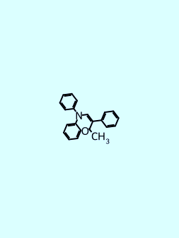 CC(=O)/C(=C\N(c1ccccc1)c1ccccc1)c1ccccc1